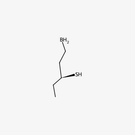 BCC[C@@H](S)CC